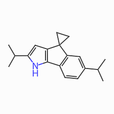 CC(C)c1ccc2c(c1)C1(CC1)c1cc(C(C)C)[nH]c1-2